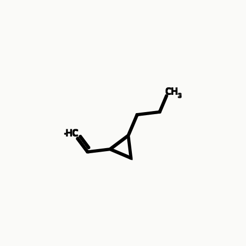 [CH]=CC1CC1CCC